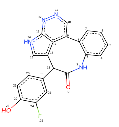 O=C1Nc2ccccc2-c2cnnc3[nH]cc(c23)C1c1ccc(O)c(F)c1